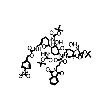 CN(C(=O)OC(C)(C)C)[C@@H]1[C@@H](O)[C@@H](O[C@@H]2[C@@H](O)[C@H](C3OC(CNC(=O)OCc4ccc([N+](=O)[O-])cc4)=CC[C@H]3NC(=O)OC(C)(C)C)[C@@H](NC(=O)OC(C)(C)C)C[C@H]2NS(=O)(=O)CCN2C(=O)c3ccccc3C2=O)OC[C@]1(C)O